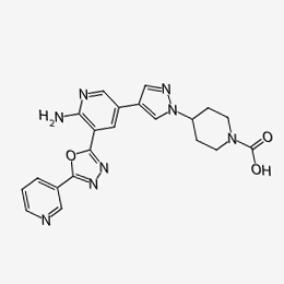 Nc1ncc(-c2cnn(C3CCN(C(=O)O)CC3)c2)cc1-c1nnc(-c2cccnc2)o1